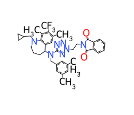 Cc1cc(C)cc(CN(c2nnn(CCN3C(=O)c4ccccc4C3=O)n2)[C@H]2CCCN(CC3CC3)c3c2cc(C)c(C(F)(F)F)c3C)c1